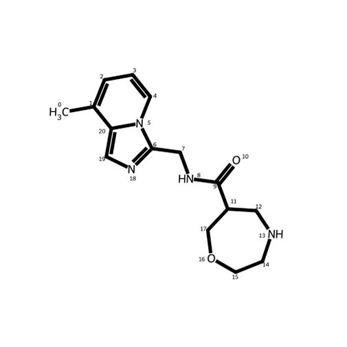 Cc1cccn2c(CNC(=O)C3CNCCOC3)ncc12